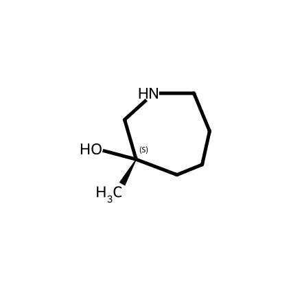 C[C@]1(O)CCCCNC1